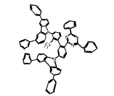 FC(F)(F)c1c(-c2cc(-n3c4ccc(-c5ccccc5)cc4c4cc(-c5ccccc5)ccc43)ccc2-c2nc(-c3ccccc3)nc(-c3ccccc3)n2)cccc1-n1c2ccc(-c3ccccc3)cc2c2cc(-c3ccccc3)ccc21